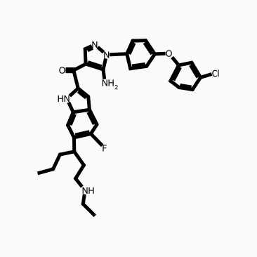 CCCC(CCNCC)c1cc2[nH]c(C(=O)c3cnn(-c4ccc(Oc5cccc(Cl)c5)cc4)c3N)cc2cc1F